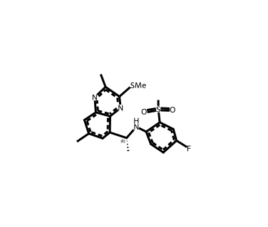 CSc1nc2c([C@@H](C)Nc3ccc(F)cc3S(C)(=O)=O)cc(C)cc2nc1C